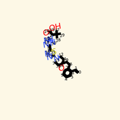 C=Cc1cccc2c1CCC1(CCN(c3nnc(-c4nnn(C(C(=O)O)C(C)(C)C)n4)s3)CC1)O2